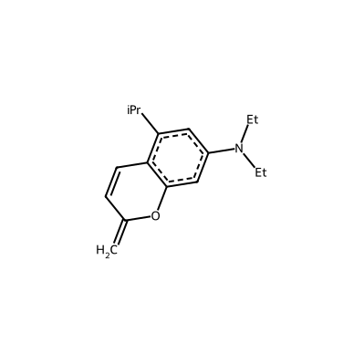 C=C1C=Cc2c(cc(N(CC)CC)cc2C(C)C)O1